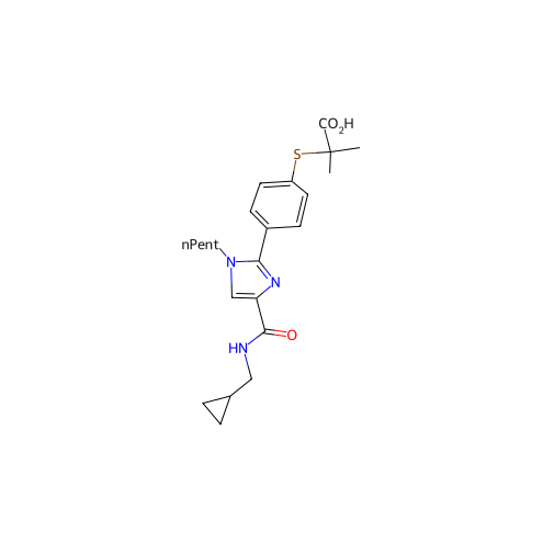 CCCCCn1cc(C(=O)NCC2CC2)nc1-c1ccc(SC(C)(C)C(=O)O)cc1